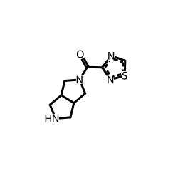 O=C(c1ncsn1)N1CC2CNCC2C1